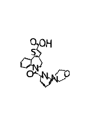 O=C(O)c1cc2c(s1)-c1ccccc1N(C(=O)c1cccc(N3CCCOCC3)n1)CC2